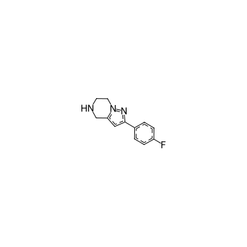 Fc1ccc(-c2cc3n(n2)CCNC3)cc1